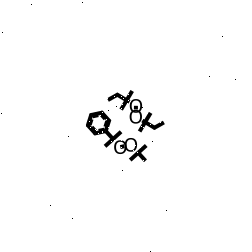 CC(C)(C)OOC(C)(C)c1ccccc1.CCC(C)(C)OOC(C)(C)CC